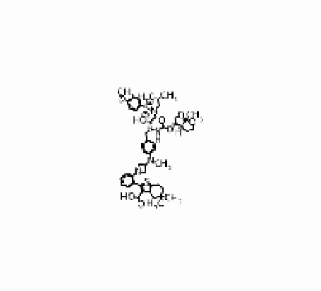 COc1ccc(S(=O)(=O)N(CC(C)C)C[C@@H](O)[C@H](Cc2ccc(N(C)C3CN(c4ccccc4-c4sc5c(c4C(=O)O)CC(C)(C)CC5)C3)cc2)NC(=O)O[C@H]2CO[C@@]3(C)OCC[C@@H]23)cc1